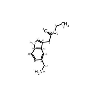 CCOC(=O)Cc1coc2ccc(CN)cc12